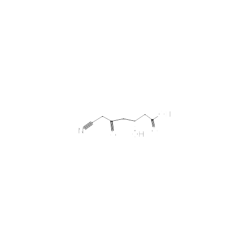 N#CCC(=O)C[C@@H](O)CC(=O)O